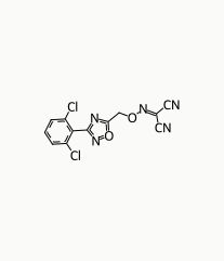 N#CC(C#N)=NOCc1nc(-c2c(Cl)cccc2Cl)no1